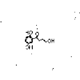 O=C(CCCO)c1cc(O)ccc1O